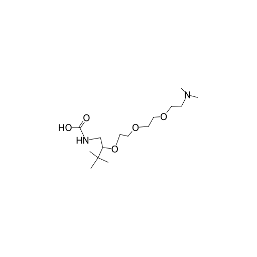 CN(C)CCOCCOCCOC(CNC(=O)O)C(C)(C)C